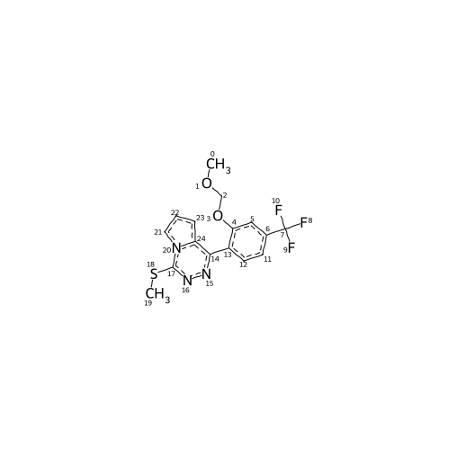 COCOc1cc(C(F)(F)F)ccc1-c1nnc(SC)n2cccc12